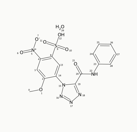 COc1cc([N+](=O)[O-])c(S(=O)(=O)O)cc1-n1nnnc1C(=O)Nc1ccccc1.O